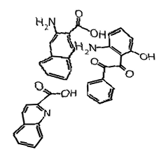 Nc1cc2ccccc2cc1C(=O)O.Nc1cccc(O)c1C(=O)C(=O)c1ccccc1.O=C(O)c1ccc2ccccc2n1